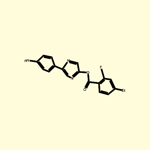 CCCc1ccc(-c2cnc(OC(=O)c3ccc(CC)cc3F)cn2)cc1